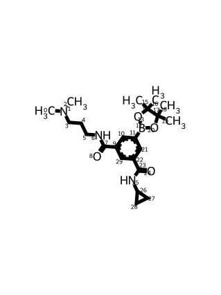 CN(C)CCCNC(=O)c1cc(B2OC(C)(C)C(C)(C)O2)cc(C(=O)NC2CC2)c1